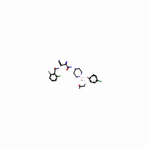 COC(=O)[C@H](C)NP(=O)(Oc1ccc(F)cc1)N1CCC(NC(=O)C(=N)/C(=C\N)NC(=O)c2c(Cl)cccc2Cl)CC1